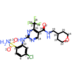 NS(=O)(=O)c1ccc(Cl)cc1Nc1ncc(C(=O)NCC2CCOCC2)c(C(F)(F)F)n1